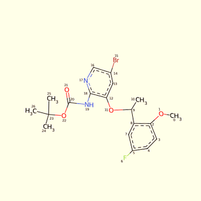 COc1ccc(F)cc1C(C)Oc1cc(Br)cnc1NC(=O)OC(C)(C)C